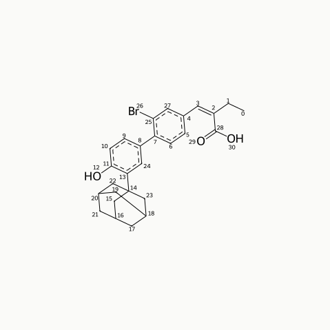 CCC(=Cc1ccc(-c2ccc(O)c(C34CC5CC(CC(C5)C3)C4)c2)c(Br)c1)C(=O)O